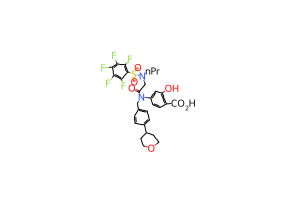 CCCN(CC(=O)N(Cc1ccc(C2CCOCC2)cc1)c1ccc(C(=O)O)c(O)c1)S(=O)(=O)c1c(F)c(F)c(F)c(F)c1F